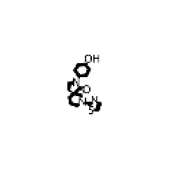 O=C1N(C2CCC(O)CC2)CC[C@@]12CCCN(c1nccs1)C2